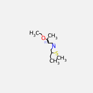 CCO/C(C)=C/C=N\CC(CC)SC